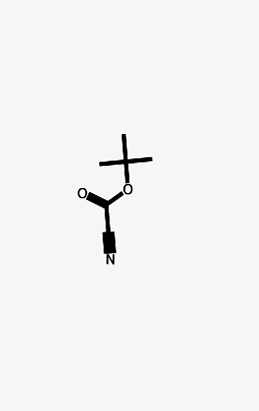 CC(C)(C)OC(=O)C#N